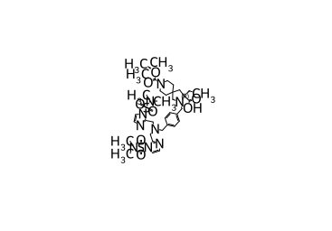 CC[C@]1(C(=O)O)CC2(CCN(C(=O)OC(C)(C)C)CC2)CN1Cc1ccc(CN(Cc2nccn2S(=O)(=O)N(C)C)Cc2nccn2S(=O)(=O)N(C)C)cc1